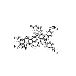 COc1ccc(CN(Cc2ccc(OC)cc2)c2ncccc2[C@@H](C)N2CCOc3nc(-c4nc(N)c(F)c(C)c4C(F)(F)F)c(Cl)c4nc(OC[C@@]56CCCN5C[C@H](F)C6)nc2c34)cc1